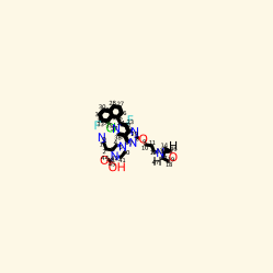 N#CCC1CN(c2nc(OCCCN3C[C@@H]4C[C@H]3CO4)nc3c(F)c(-c4cccc5ccc(F)c(Cl)c45)ncc23)CCN1C(=O)O